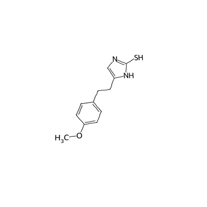 COc1ccc(CCc2cnc(S)[nH]2)cc1